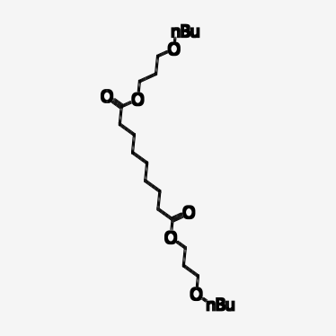 CCCCOCCCOC(=O)CCCCCCCC(=O)OCCCOCCCC